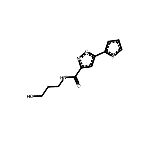 O=C(NCCCO)c1cc(-c2cccs2)on1